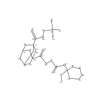 CCC1(OC(=O)COC(=O)C23CC4CC(C2)CC(C(=O)OCC(C)(F)F)(C4)C3)CCCCC1